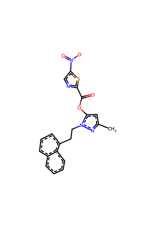 Cc1cc(OC(=O)c2ncc([N+](=O)[O-])s2)n(CCc2cccc3ccccc23)n1